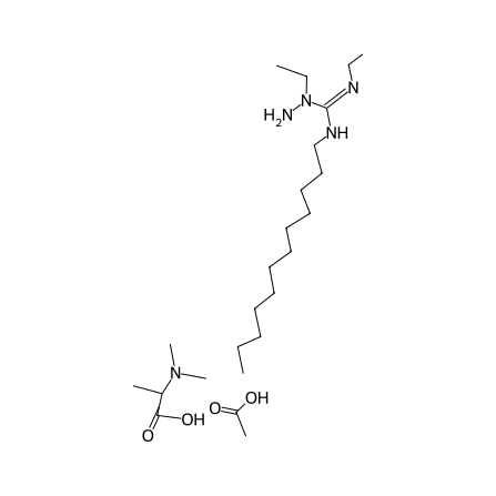 CC(=O)O.CC(C(=O)O)N(C)C.CCCCCCCCCCCCNC(=NCC)N(N)CC